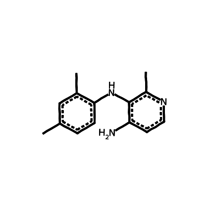 Cc1ccc(Nc2c(N)ccnc2C)c(C)c1